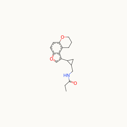 CCC(=O)NCC1CC1c1coc2ccc3c(c12)CCCO3